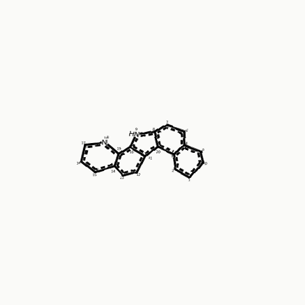 c1ccc2c(c1)ccc1[nH]c3c(ccc4cccnc43)c12